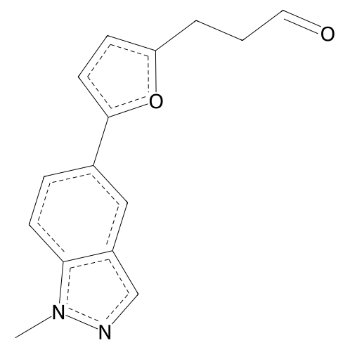 Cn1ncc2cc(-c3ccc(CCC=O)o3)ccc21